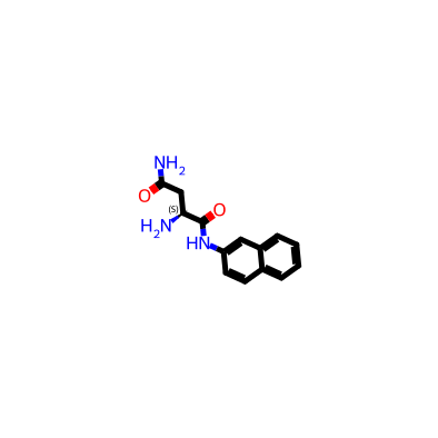 NC(=O)C[C@H](N)C(=O)Nc1ccc2ccccc2c1